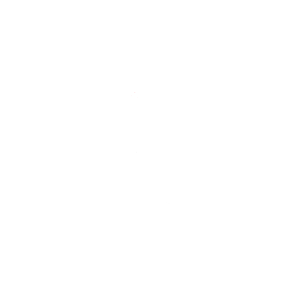 CCCCCCC(I)CO